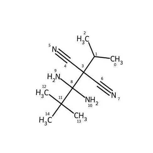 CC(C)C(C#N)(C#N)C(N)(N)C(C)(C)C